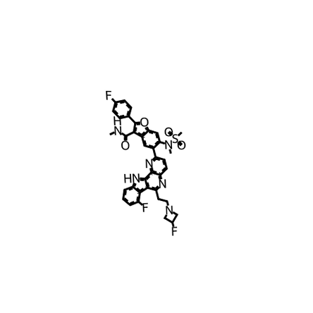 CNC(=O)c1c(-c2ccc(F)cc2)oc2cc(N(C)S(C)(=O)=O)c(-c3ccc4nc(CCN5CC(F)C5)c5c([nH]c6cccc(F)c65)c4n3)cc12